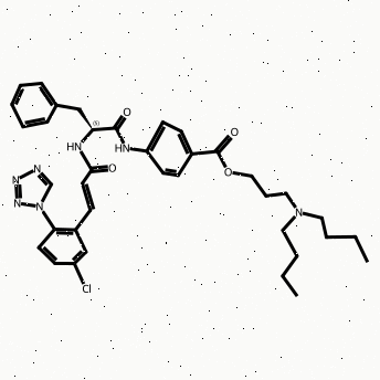 CCCCN(CCCC)CCCOC(=O)c1ccc(NC(=O)[C@H](Cc2ccccc2)NC(=O)C=Cc2cc(Cl)ccc2-n2cnnn2)cc1